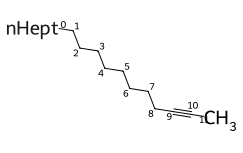 [CH2]CCCCCCCCCCCCCCC#CC